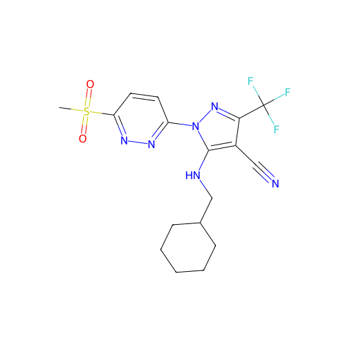 CS(=O)(=O)c1ccc(-n2nc(C(F)(F)F)c(C#N)c2NCC2CCCCC2)nn1